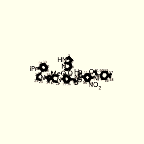 COc1nc2[nH]ccc2cc1Oc1cc(N2CCC3(CC2)CC(N2CCC[C@H]2c2ccccc2C(C)C)C3)ccc1C(=O)NS(=O)(=O)c1cc2c(c([N+](=O)[O-])c1)N[C@@H](C1CCC(C)(C)CC1)CO2